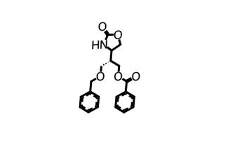 O=C1NC([C@@H](COCc2ccccc2)COC(=O)c2ccccc2)CO1